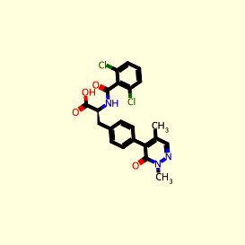 Cc1cnn(C)c(=O)c1-c1ccc(C[C@H](NC(=O)c2c(Cl)cccc2Cl)C(=O)O)cc1